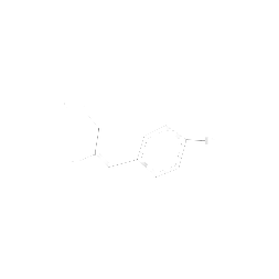 CC(=O)OCC(=Cc1ccc(C(C)C)cc1)C(C)C